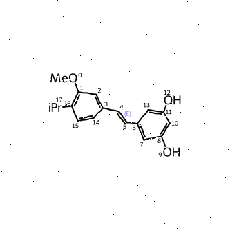 COc1cc(/C=C/c2cc(O)cc(O)c2)ccc1C(C)C